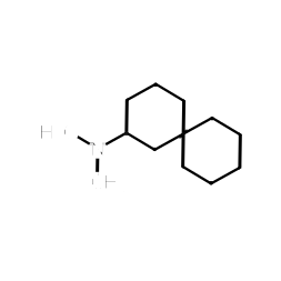 CN(C)C1CCCC2(CCCCC2)C1